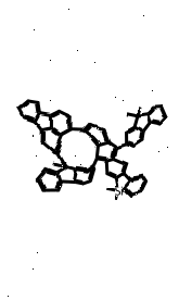 CC1(C)c2ccccc2-c2ccc(-c3c4ccc5cc4c(c4cc6c(cc34)-c3ccccc3[Si]6(C)C)-c3ccc4c(c3)C(C)(c3cc6c7c(ccc-5c7c3)-c3ccccc3-6)c3ccccc3-4)cc21